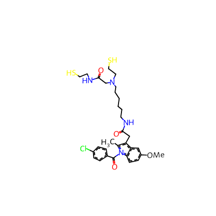 COc1ccc2c(c1)c(CC(=O)NCCCCCCN(CCS)CC(=O)NCCS)c(C)n2C(=O)c1ccc(Cl)cc1